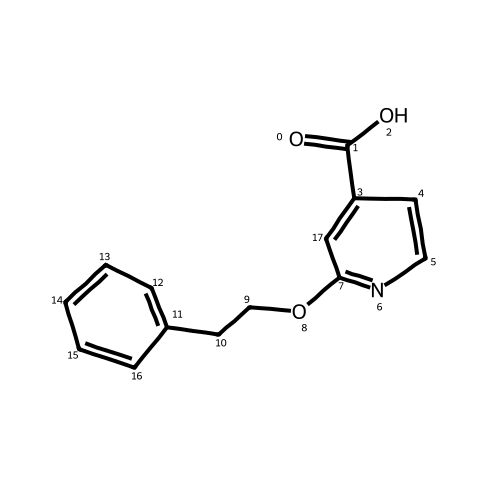 O=C(O)c1ccnc(OCCc2ccccc2)c1